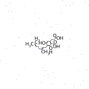 CC(C)=CCC/C(C)=C/Cc1c(O)cc(CCC(=O)O)c(C(=O)O)c1O